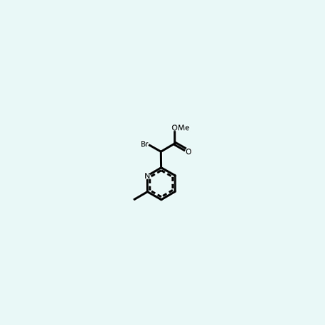 COC(=O)C(Br)c1cccc(C)n1